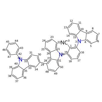 N#Cc1c(-n2c3ccccc3c3ccccc32)cccc1-n1c2ccccc2c2c(-c3ccc4c(c3)c3ccccc3n4-c3ccccc3)cccc21